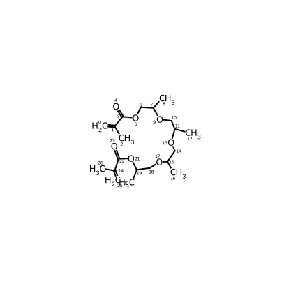 C=C(C)C(=O)OCC(C)OCC(C)OCC(C)OCC(C)OC(=O)C(=C)C